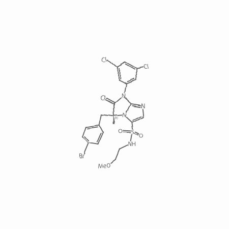 COCCNS(=O)(=O)c1cnc2n1[C@](C)(Cc1ccc(Br)cc1)C(=O)N2c1cc(Cl)cc(Cl)c1